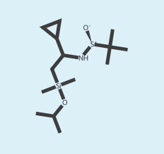 CC(C)O[Si](C)(C)CC(N[S@@+]([O-])C(C)(C)C)C1CC1